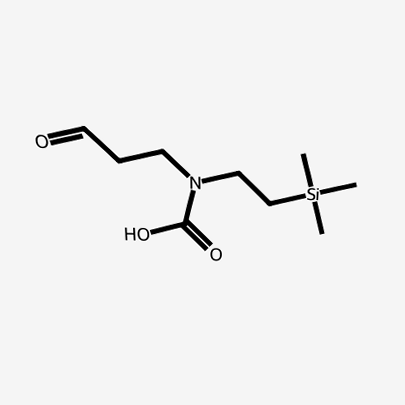 C[Si](C)(C)CCN(CCC=O)C(=O)O